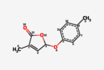 CC1=CC(Oc2ccc(C)cc2)OC1=O